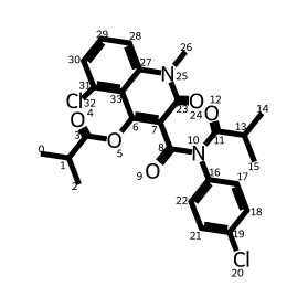 CC(C)C(=O)Oc1c(C(=O)N(C(=O)C(C)C)c2ccc(Cl)cc2)c(=O)n(C)c2cccc(Cl)c12